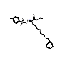 CCOC(=O)/C(=N/OS(=O)(=O)c1ccc(C)cc1)SCCOCCSCc1ccccc1